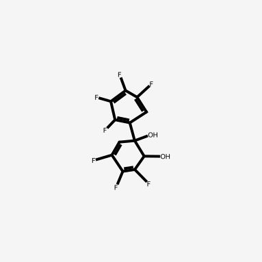 OC1C(F)=C(F)C(F)=CC1(O)c1cc(F)c(F)c(F)c1F